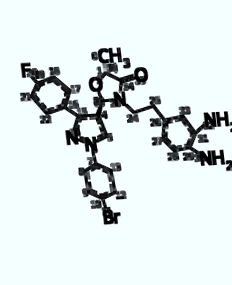 C[C@H]1O[C@H](c2cn(-c3ccc(Br)cc3)nc2-c2ccc(F)cc2)N(CCc2ccc(N)c(N)c2)C1=O